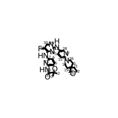 CC1(C)Oc2ccc(Nc3nc(Nc4ccc(N5CCC6(CCOC6)CC5)nc4)ncc3F)nc2NC1=O